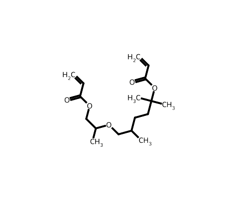 C=CC(=O)OCC(C)OCC(C)CCC(C)(C)OC(=O)C=C